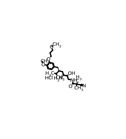 COCCCOc1cc(C[C@@H](C[C@H](N)[C@@H](O)CNC(=O)C(C)(C)C#N)C(C)C)ccc1OC.Cl